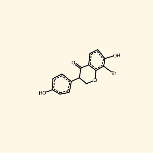 O=C1c2ccc(O)c(Br)c2OCC1c1ccc(O)cc1